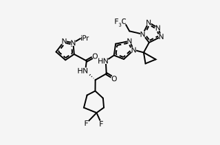 CC(C)n1nccc1C(=O)N[C@H](C(=O)Nc1cnn(C2(c3nnnn3CC(F)(F)F)CC2)c1)C1CCC(F)(F)CC1